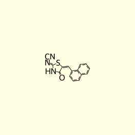 N#CN=C1NC(=O)C(=Cc2cccc3ccccc23)S1